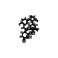 Cc1ccc(-c2ncn(C)c2-c2ccc(Cl)c(F)c2)cc1CN(C=O)C1CCC(=O)NC1=O